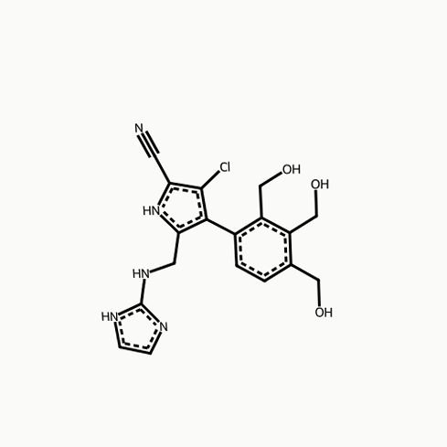 N#Cc1[nH]c(CNc2ncc[nH]2)c(-c2ccc(CO)c(CO)c2CO)c1Cl